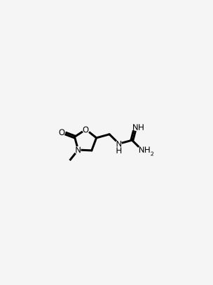 CN1CC(CNC(=N)N)OC1=O